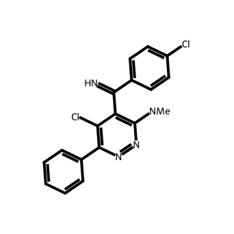 CNc1nnc(-c2ccccc2)c(Cl)c1C(=N)c1ccc(Cl)cc1